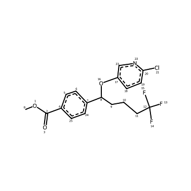 COC(=O)c1ccc(C(CCCC(F)(F)F)Oc2ccc(Cl)nc2)cc1